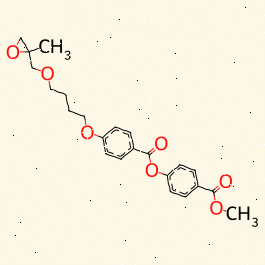 COC(=O)c1ccc(OC(=O)c2ccc(OCCCCOCC3(C)CO3)cc2)cc1